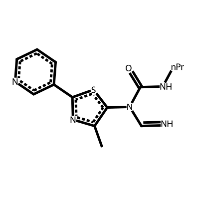 CCCNC(=O)N(C=N)c1sc(-c2cccnc2)nc1C